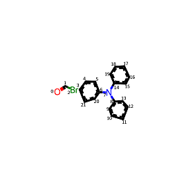 O=CBr.c1ccc(N(c2ccccc2)c2ccccc2)cc1